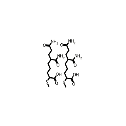 CSC(CCCC(CCC(N)=O)C(N)=O)C(=O)O.CSC(CCCC(CCC(N)=O)C(N)=O)C(=O)O